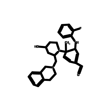 CC1(N2CCC(O)CC2CN2CCc3ccccc3C2)C=CC(C=O)=CC1Nc1ccccc1F